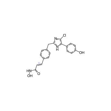 O=C(/C=C/c1ccc(Cc2nc(Cl)c(-c3ccc(O)cc3)[nH]2)cc1)NO